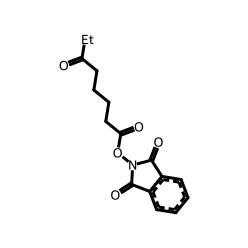 CCC(=O)CCCCC(=O)ON1C(=O)c2ccccc2C1=O